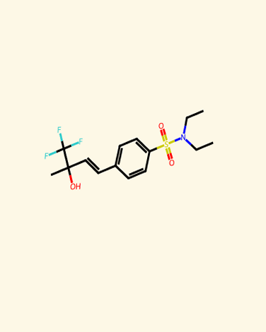 CCN(CC)S(=O)(=O)c1ccc(C=CC(C)(O)C(F)(F)F)cc1